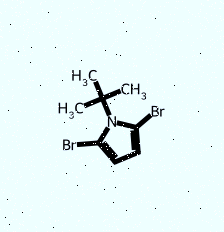 CC(C)(C)n1c(Br)ccc1Br